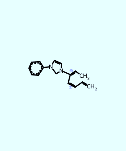 C=C/C=C\C(=C/C)N1C=CN(c2ccccc2)C1